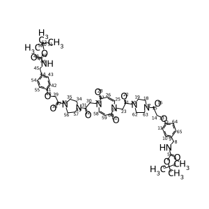 CC(C)(C)OC(=O)NCc1ccc(OCC(=O)N2CCN(C(=O)CN3C=CC(=O)N(CC(=O)N4CCN(C(=O)COc5ccc(CNC(=O)OC(C)(C)C)cc5)CC4)C=CC3=O)CC2)cc1